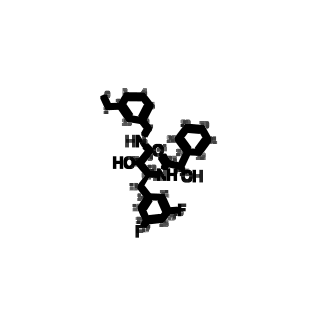 CCc1cccc(CNC[C@@H](O)[C@H](Cc2cc(F)cc(F)c2)NC(=O)[C@H](O)c2ccccc2)c1